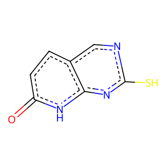 O=c1ccc2cnc(S)nc2[nH]1